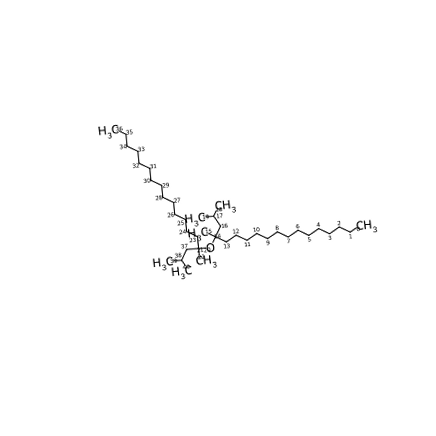 CCCCCCCCCCCCCCC(C)(CC(C)C)OC(C)(CCCCCCCCCCCCCC)CC(C)C